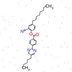 CCCCCCCCc1ccc(OC(=O)c2ccc(-c3ncc(CCCCC)cn3)cc2)c(C#N)c1